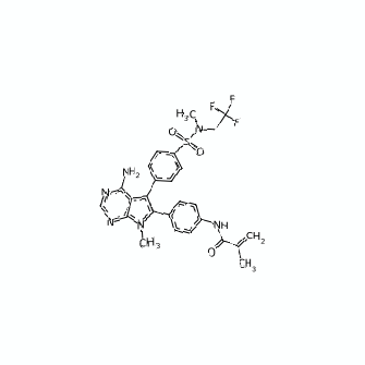 C=C(C)C(=O)Nc1ccc(-c2c(-c3ccc(S(=O)(=O)N(C)CC(F)(F)F)cc3)c3c(N)ncnc3n2C)cc1